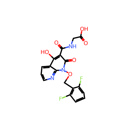 O=C(O)CNC(=O)c1c(O)c2cccnc2n(OCc2c(F)cccc2F)c1=O